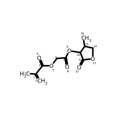 C=C(C)C(=O)OCC(=O)OC1C(=O)OCC1C